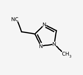 Cn1cnc(CC#N)n1